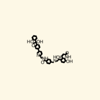 O=C(NCc1ccc(-c2ccc(C(O)(C(=O)O)c3ccccc3)cc2)cn1)c1ccc(CNCC(O)c2ccc(O)c3[nH]c(=O)ccc23)cc1